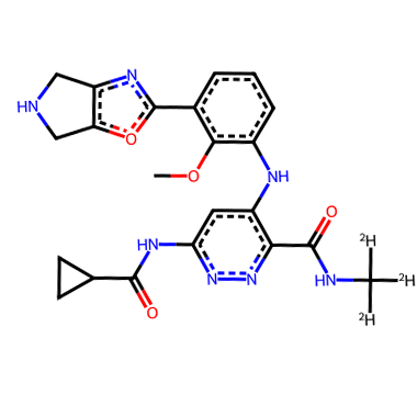 [2H]C([2H])([2H])NC(=O)c1nnc(NC(=O)C2CC2)cc1Nc1cccc(-c2nc3c(o2)CNC3)c1OC